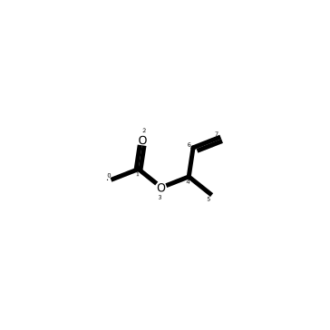 [CH2]C(=O)OC(C)C=C